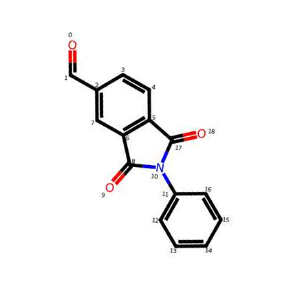 O=Cc1ccc2c(c1)C(=O)N(c1ccccc1)C2=O